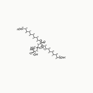 [CH2]C([CH2])(CP(=O)(O)O)CP(=O)(OCCCCCCCCCCCCCCCCCC)OCCCCCCCCCCCCCCCCCC